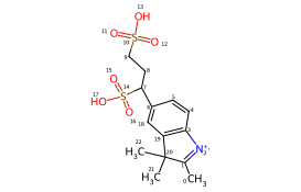 CC1=[N+]c2ccc(C(CCS(=O)(=O)O)S(=O)(=O)O)cc2C1(C)C